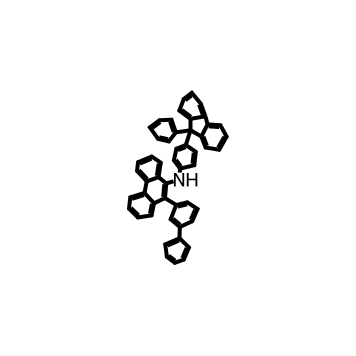 c1ccc(-c2cccc(-c3c(Nc4ccc(C5(c6ccccc6)c6ccccc6-c6ccccc65)cc4)c4ccccc4c4ccccc34)c2)cc1